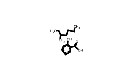 CCCCC(C)CC.O=C(O)c1ccccc1O